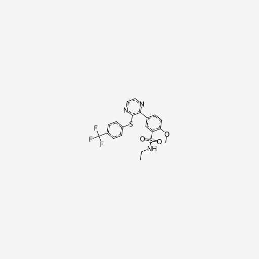 CCNS(=O)(=O)c1cc(-c2nccnc2Sc2ccc(C(F)(F)F)cc2)ccc1OC